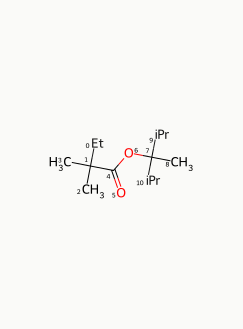 CCC(C)(C)C(=O)OC(C)(C(C)C)C(C)C